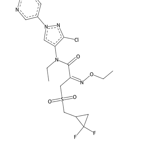 CCO/N=C(/CS(=O)(=O)CC1CC1(F)F)C(=O)N(CC)c1cn(-c2cccnc2)nc1Cl